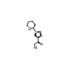 O=C(CCl)c1cnn(C2CCCCO2)c1